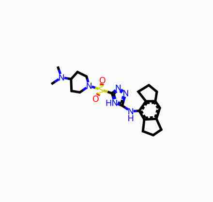 CN(C)C1CCN(S(=O)(=O)c2nnc(Nc3c4c(cc5c3CCC5)CCC4)[nH]2)CC1